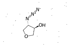 [N-]=[N+]=N[C@H]1COC[C@@H]1O